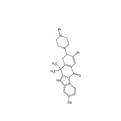 CCC1=CC2=C(CC1N1CCN(C(C)C)CC1)C(C)(C)c1[nH]c3cc(C#N)ccc3c1C2=O